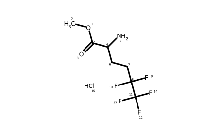 COC(=O)C(N)CCC(F)(F)C(F)(F)F.Cl